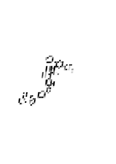 O=C(Nc1ccc(Oc2ccc(-c3cnc(N4CCCC4=O)s3)cc2)nc1)Nc1cc(C(F)(F)F)ccc1-c1ccccc1